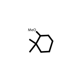 COC1CCCCC1(C)C